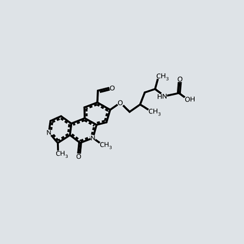 Cc1nccc2c1c(=O)n(C)c1cc(OCC(C)CC(C)NC(=O)O)c(C=O)cc21